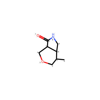 CC1COCC2C(=O)NCC12